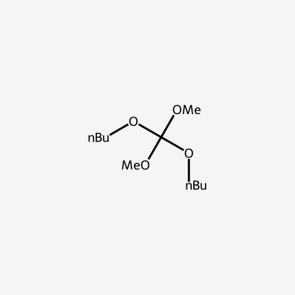 CCCCOC(OC)(OC)OCCCC